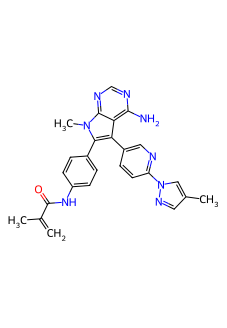 C=C(C)C(=O)Nc1ccc(-c2c(-c3ccc(-n4cc(C)cn4)nc3)c3c(N)ncnc3n2C)cc1